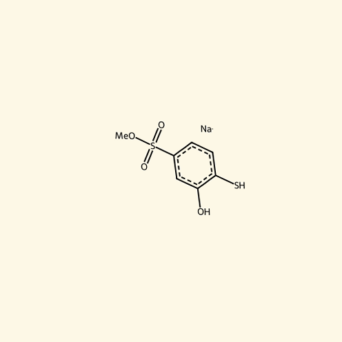 COS(=O)(=O)c1ccc(S)c(O)c1.[Na]